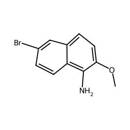 COc1ccc2cc(Br)ccc2c1N